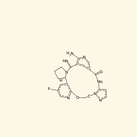 N=C1c2cc(cnc2N)C(=O)Nc2ccnn2CCOc2ncc(F)cc2[C@H]2CCCN12